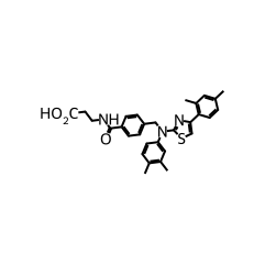 Cc1ccc(-c2csc(N(Cc3ccc(C(=O)NCCC(=O)O)cc3)c3ccc(C)c(C)c3)n2)c(C)c1